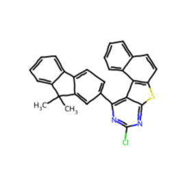 CC1(C)c2ccccc2-c2ccc(-c3nc(Cl)nc4sc5ccc6ccccc6c5c34)cc21